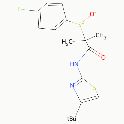 CC(C)(C)c1csc(NC(=O)C(C)(C)[S+]([O-])c2ccc(F)cc2)n1